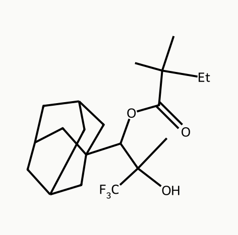 CCC(C)(C)C(=O)OC(C12CC3CC(CC(C3)C1)C2)C(C)(O)C(F)(F)F